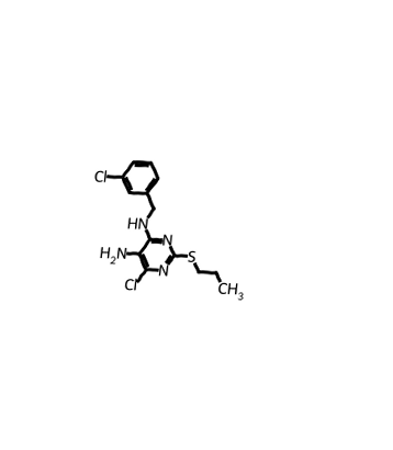 CCCSc1nc(Cl)c(N)c(NCc2cccc(Cl)c2)n1